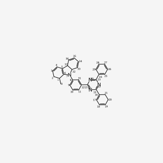 CC1CC=CC2=C1N(c1cccc(-c3nc(C4=CC=CCC4)nc(-c4ccccc4)n3)c1)C1C=CC=CC21